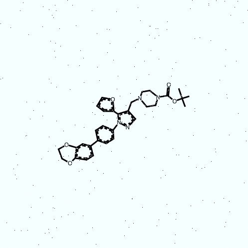 CC(C)(C)OC(=O)N1CCN(Cc2cnn(-c3ccc(-c4ccc5c(c4)OCCO5)cc3)c2-c2ccco2)CC1